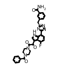 NC(=O)c1cccc(Cn2nnc(-c3ccc(F)c4c(C(=O)C(=O)N5CCN(C(=O)c6ccccc6)CC5)c[nH]c34)n2)c1